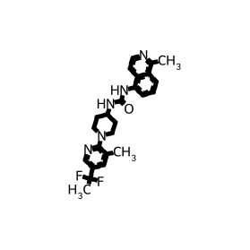 Cc1cc(C(C)(F)F)cnc1N1CCC(NC(=O)Nc2cccc3c(C)nccc23)CC1